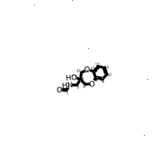 O=CNCC1(O)COc2ccccc2OC1